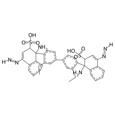 [H]/N=N/C1=CC(S(=O)(=O)O)C(N)(c2ccc(-c3ccc(C4(N)c5ccccc5C(/N=N/[H])=CC4S(=O)(=O)O)c(CC)c3)cc2CC)c2ccccc21